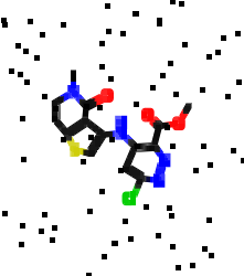 COC(=O)c1nnc(Cl)cc1Nc1csc2ccn(C)c(=O)c12